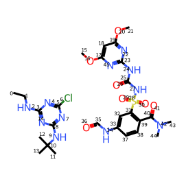 CCNc1nc(Cl)nc(NC(C)(C)C)n1.COc1cc(OC)nc(NC(=O)NS(=O)(=O)c2cc(NC=O)ccc2C(=O)N(C)C)n1